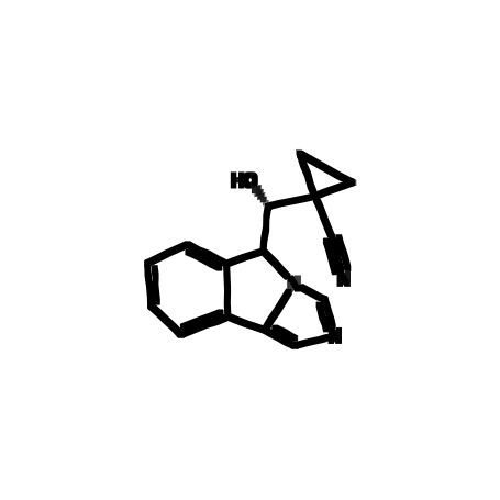 N#CC1([C@@H](O)C2c3ccccc3-c3cncn32)CC1